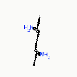 CCCCCCCCCCCCC(c1ccc(CCCCCCCCCCCCCCc2ccc(C(CCCCCCCCCCCC)c3ccc(N)cc3C)cc2)cc1)c1ccc(N)cc1C